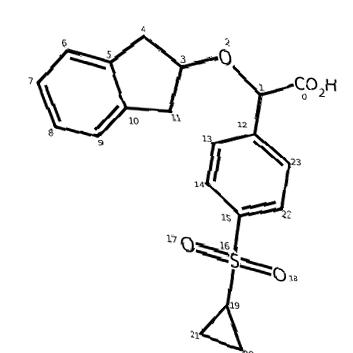 O=C(O)C(OC1Cc2ccccc2C1)c1ccc(S(=O)(=O)C2CC2)cc1